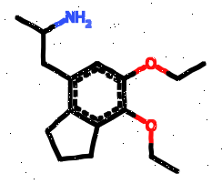 CCOc1cc(CC(C)N)c2c(c1OCC)CCC2